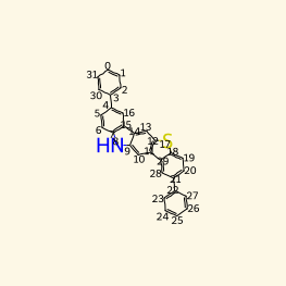 c1ccc(-c2ccc3[nH]c4cc5c(cc4c3c2)sc2ccc(-c3ccccc3)cc25)cc1